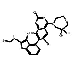 CC(C)(C)CNc1sc2cccc(-c3c(Br)cc4c(N5CCOCC(C)(O)C5)nc(Cl)nc4c3F)c2c1C#N